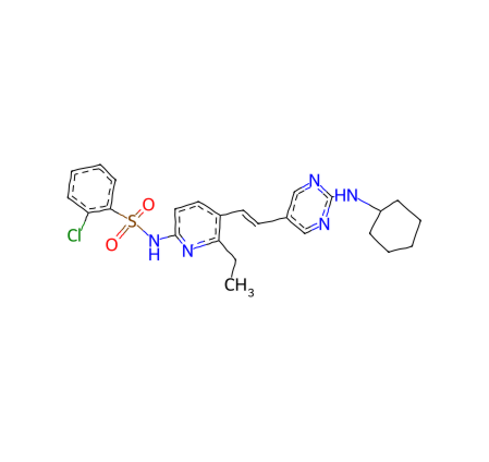 CCc1nc(NS(=O)(=O)c2ccccc2Cl)ccc1/C=C/c1cnc(NC2CCCCC2)nc1